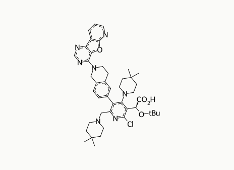 CC1(C)CCN(Cc2nc(Cl)c([C@H](OC(C)(C)C)C(=O)O)c(N3CCC(C)(C)CC3)c2-c2ccc3c(c2)CCN(c2ncnc4c2oc2ncccc24)C3)CC1